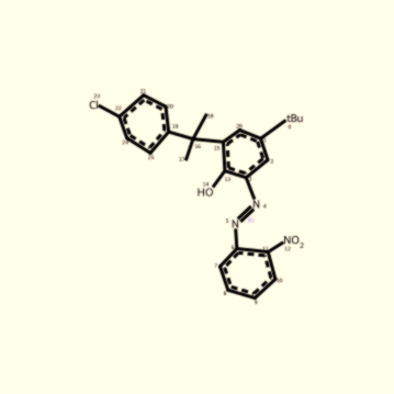 CC(C)(C)c1cc(/N=N/c2ccccc2[N+](=O)[O-])c(O)c(C(C)(C)c2ccc(Cl)cc2)c1